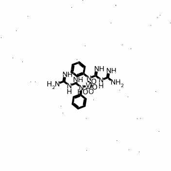 N=C(N)NC(=N)[N](c1ccccc1)[V](=[O])(=[O])(=[O])([OH])[N](C(=N)NC(=N)N)c1ccccc1